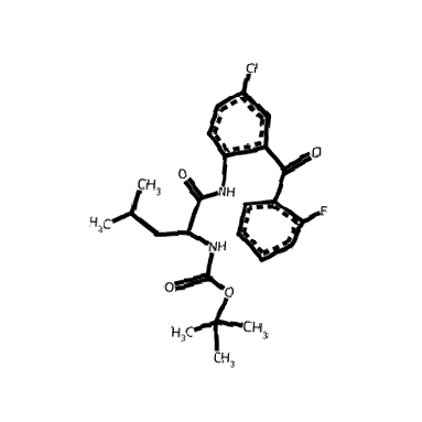 CC(C)CC(NC(=O)OC(C)(C)C)C(=O)Nc1ccc(Cl)cc1C(=O)c1ccccc1F